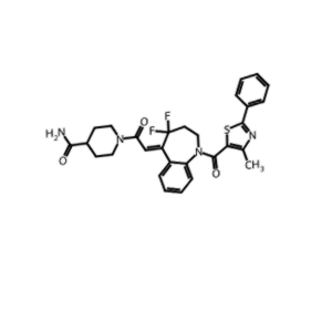 Cc1nc(-c2ccccc2)sc1C(=O)N1CCC(F)(F)C(=CC(=O)N2CCC(C(N)=O)CC2)c2ccccc21